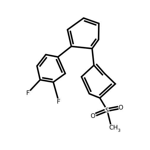 CS(=O)(=O)c1ccc(-c2ccccc2-c2ccc(F)c(F)c2)cc1